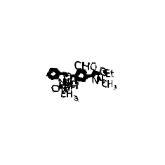 CCOc1c(C=O)c(-c2ccc(OCc3ccccc3N3NNN(C)C3=O)c(C)c2)nn1C